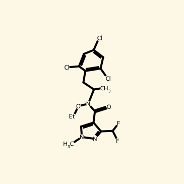 CCON(C(=O)c1cn(C)nc1C(F)F)C(C)Cc1c(Cl)cc(Cl)cc1Cl